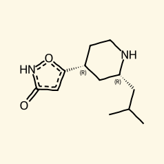 CC(C)C[C@@H]1C[C@H](c2cc(=O)[nH]o2)CCN1